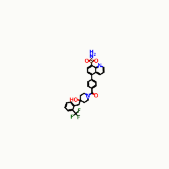 NS(=O)(=O)c1ccc(-c2ccc(C(=O)N3CCC(O)(Cc4ccccc4C(F)(F)F)CC3)cc2)c2cccnc12